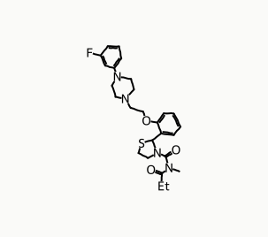 CCC(=O)N(C)C(=O)N1CCSC1c1ccccc1OCCN1CCN(c2cccc(F)c2)CC1